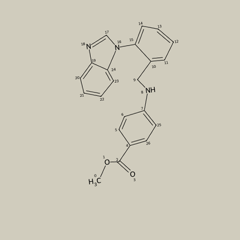 COC(=O)c1ccc(NCc2ccccc2-n2cnc3ccccc32)cc1